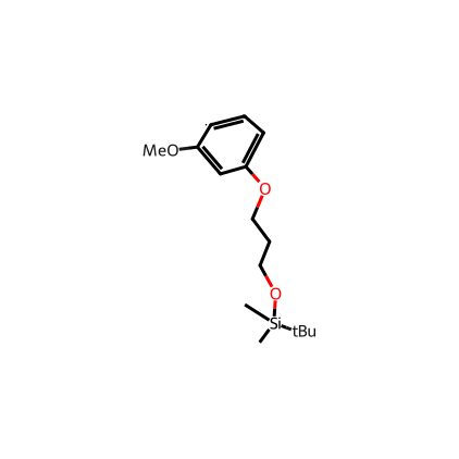 COc1[c]ccc(OCCCO[Si](C)(C)C(C)(C)C)c1